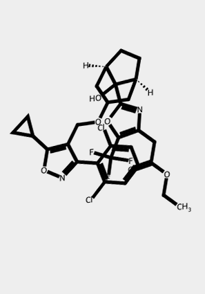 CCOC(=O)Cc1nc(C2(O)[C@@H]3CC[C@H]2CC(OCc2c(-c4c(Cl)cccc4Cl)noc2C2CC2)C3)oc1C(F)(F)F